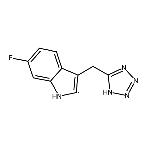 Fc1ccc2c(Cc3nnn[nH]3)[c][nH]c2c1